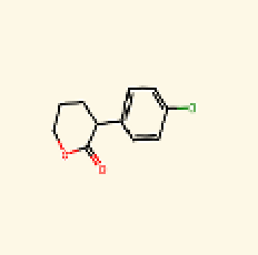 O=C1OCCCC1c1ccc(Cl)cc1